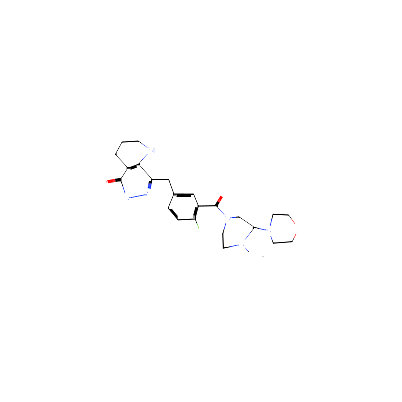 O=CN1CCN(C(=O)c2cc(Cc3n[nH]c(=O)c4c3NCCC4)ccc2F)CC1N1CCOCC1